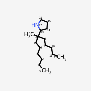 CCCCCCC(C)(CCCCC)C1CCCN1